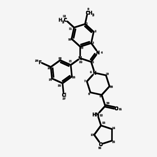 Cc1cc2nc(N3CCC(C(=O)NC4CCOC4)CC3)n(-c3cc(F)cc(Cl)c3)c2cc1C